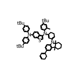 Cc1cc(C(C)(C)C)ccc1N(C1=CC(N2c3ccc(C4=CC=CCC4)cc3C3(C)CCCCC23C)=CCC1)c1csc2cc(N(c3ccc(C(C)(C)C)cc3)c3ccc(C(C)(C)C)cc3)ccc12